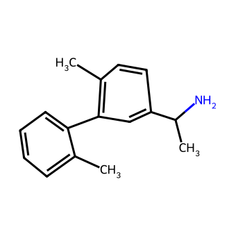 Cc1ccccc1-c1cc(C(C)N)ccc1C